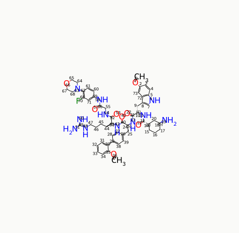 COc1ccc2[nH]cc(C[C@H](NC(=O)[C@H]3CCC[C@H](N)C3)C(=O)N[C@@H](Cc3ccc(-c4ccccc4OC)cc3)C(=O)N[C@@H](CCCCNC(=N)N)C(=O)NCC(=O)Nc3ccc(N4CCOCC4)c(F)c3)c2c1